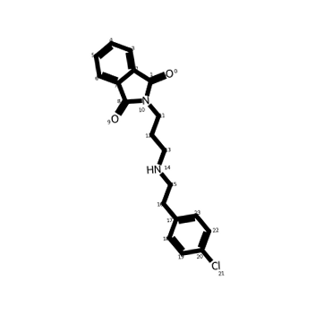 O=C1c2ccccc2C(=O)N1CCCNCCc1ccc(Cl)cc1